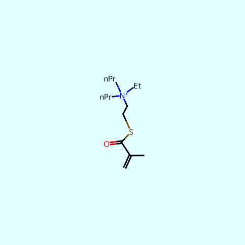 C=C(C)C(=O)SCC[N+](CC)(CCC)CCC